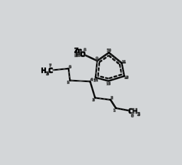 CCCCCCCC.Oc1ccccc1.[Zn]